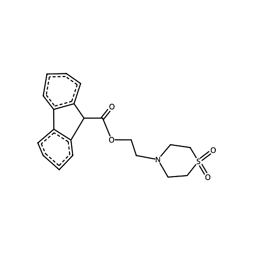 O=C(OCCN1CCS(=O)(=O)CC1)C1c2ccccc2-c2ccccc21